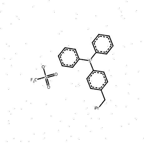 CC(C)Cc1ccc([S+](c2ccccc2)c2ccccc2)cc1.O=S(=O)([O-])C(F)(F)F